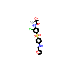 C[C@@](O)(C(=O)Nc1ccc(S(=O)(=O)c2ccc(NCc3ccco3)cc2)cc1Cl)C(F)(F)F